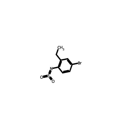 CCc1cc(Br)ccc1N=S(=O)=O